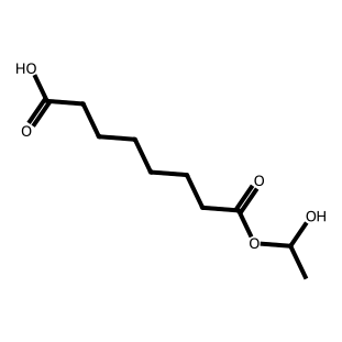 CC(O)OC(=O)CCCCCCC(=O)O